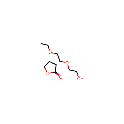 CCOCCOCCO.O=C1CCCO1